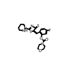 O=C(Oc1cc(F)ccc1C=C1SC(N2CCCCN2)=NC1=S)N1CCOCC1